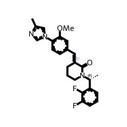 COc1cc(/C=C2\CCCN([C@H](C)c3cccc(F)c3F)C2=O)ccc1-n1cnc(C)c1